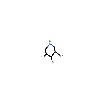 CCC1CNCC(CC)C1CC